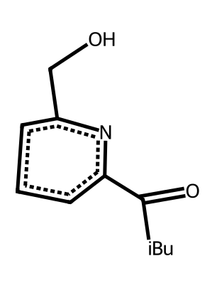 CCC(C)C(=O)c1cccc(CO)n1